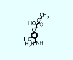 CCOC(=O)C(O)COc1ccc(C(=N)N)c(O)c1